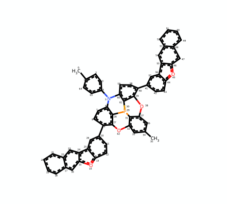 Cc1ccc(N2c3ccc(-c4ccc5oc6cc7ccccc7cc6c5c4)c4c3P3(=S)c5c(cc(C)cc5Oc5c(-c6ccc7oc8cc9ccccc9cc8c7c6)ccc2c53)O4)cc1